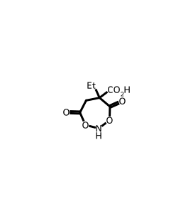 CCC1(C(=O)O)CC(=O)ONOC1=O